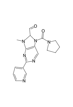 CN1c2nc(-c3cccnc3)ncc2N(C(=O)N2CCCC2)C1C=O